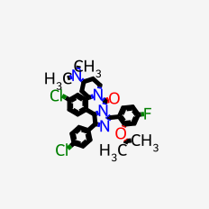 CC(C)Oc1cc(F)ccc1C1=NC(c2ccc(Cl)cc2)C(c2ccc(Cl)cc2)N1C(=O)N1CCC(N(C)C)CC1